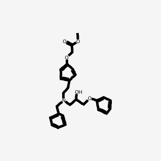 COC(=O)COc1ccc(CCN(Cc2ccccc2)CC(O)COc2ccccc2)cc1